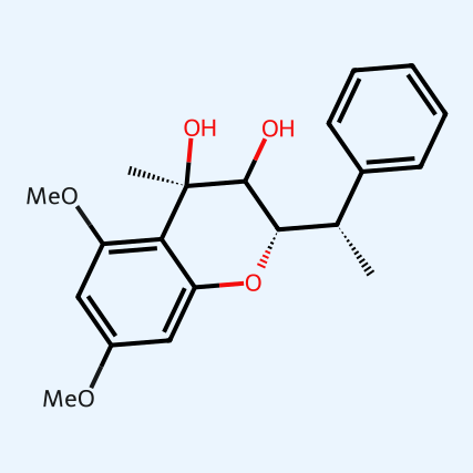 COc1cc(OC)c2c(c1)O[C@@H]([C@@H](C)c1ccccc1)C(O)[C@]2(C)O